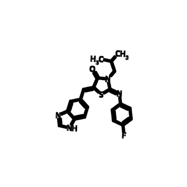 CC(C)CN1C(=O)/C(=C/c2ccc3[nH]cnc3c2)S/C1=N\c1ccc(F)cc1